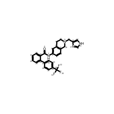 O=C(Nc1ccc2c(c1)CCN(Cc1c[nH]cn1)C2)c1ccccc1-c1ccc(C(F)(F)F)cc1